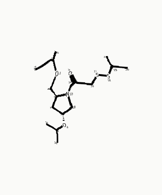 CC(C)OC[C@@H]1C[C@@H](OC(C)C)CN1C(=O)CSSC(C)C